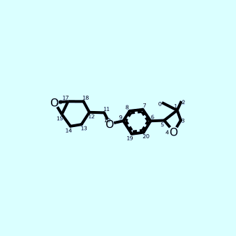 CC1(C)COC1c1ccc(OCC2CCC3OC3C2)cc1